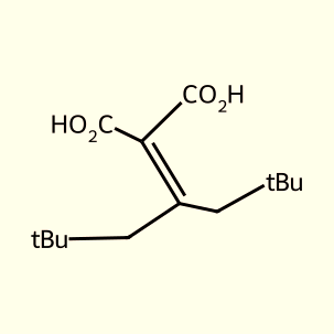 CC(C)(C)CC(CC(C)(C)C)=C(C(=O)O)C(=O)O